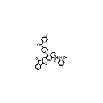 CCc1c(S(=O)(=O)Nc2ccccc2OC)ccc(CN2C(=O)c3ccccc3C2=O)c1N1CCC(C(=O)c2ccc(F)cc2)CC1